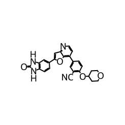 N#Cc1cc(-c2ccnc3cc(-c4ccc5[nH]c(=O)[nH]c5c4)oc23)ccc1OC1CCOCC1